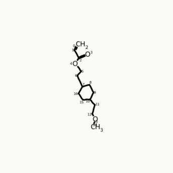 C=CC(=O)OCCC1CCC(CCOC)CC1